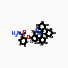 NC(=O)c1ccccc1Oc1cccc2c1cnn2C(c1ccccc1)(c1ccccc1)c1ccccc1